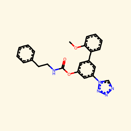 COc1ccccc1-c1cc(OC(=O)NCCc2ccccc2)cc(-n2cnnn2)c1